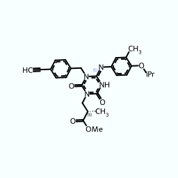 C#Cc1ccc(Cn2c(=O)n(C[C@H](C)C(=O)OC)c(=O)[nH]/c2=N\c2ccc(OC(C)C)c(C)c2)cc1